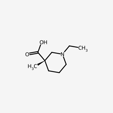 CCN1CCC[C@](C)(C(=O)O)C1